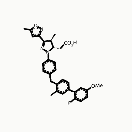 COc1ccc(F)c(-c2ccc(Cc3ccc(N4N=C(c5cc(C)on5)[C@@H](C)[C@@H]4CC(=O)O)cc3)c(C)c2)c1